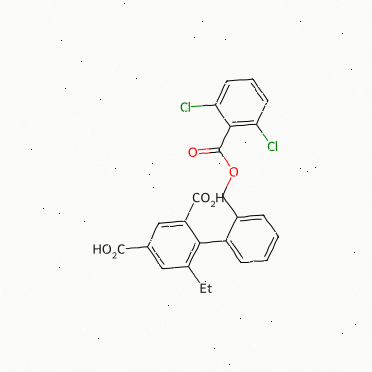 CCc1cc(C(=O)O)cc(C(=O)O)c1-c1ccccc1COC(=O)c1c(Cl)cccc1Cl